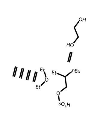 C=C.C=C.C=C.C=C.C=C.CCCCC(CC)COS(=O)(=O)O.CCOCC.OCCO